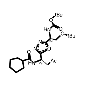 CC(=O)C[C@H](NC(=O)C1CCCCC1)c1nnc([C@H](COC(C)(C)C)NC(=O)OC(C)(C)C)o1